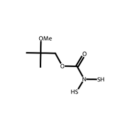 COC(C)(C)COC(=O)N(S)S